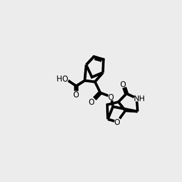 O=C1NC2C(OC(=O)C3C4C=CC(C4)C3C(=O)O)C3CC1C2O3